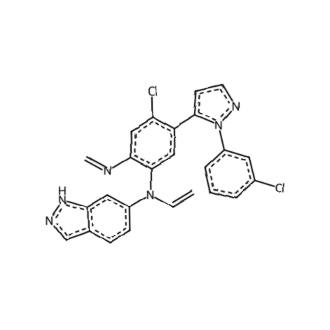 C=CN(c1ccc2cn[nH]c2c1)c1cc(-c2ccnn2-c2cccc(Cl)c2)c(Cl)cc1N=C